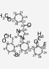 COc1ccc(Br)cc1.COc1cccc(C(=O)c2cn(-c3cccc(-c4cccc(F)c4OC)c3)cn2)c1